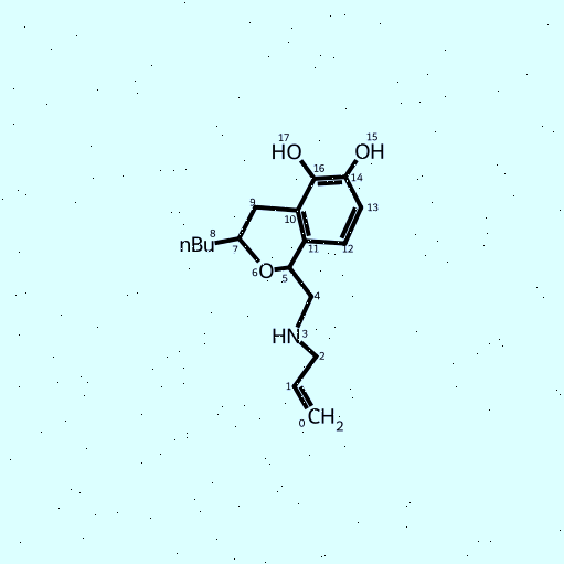 C=CCNCC1OC(CCCC)Cc2c1ccc(O)c2O